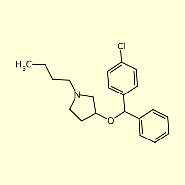 CCCCN1CCC(OC(c2ccccc2)c2ccc(Cl)cc2)C1